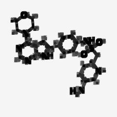 Nc1ccc(CS(=O)(=O)Nc2ccc(-c3cc4c(N5CCOCC5)ncnc4[nH]3)cc2)nc1